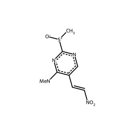 CNc1nc([S+](C)[O-])ncc1/C=C/[N+](=O)[O-]